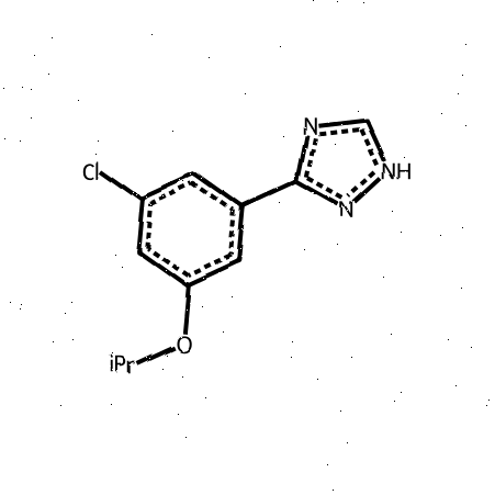 CC(C)Oc1cc(Cl)cc(-c2nc[nH]n2)c1